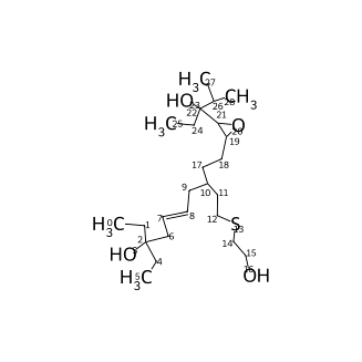 CCC(O)(CC)C/C=C/CC(CCSCCO)CCC1OC1C(O)(CC)C(C)C